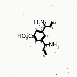 C=CC(N)c1cc(C(=O)O)cc(C(N)C=C)c1